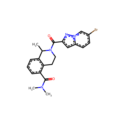 CC1c2cccc(C(=O)N(C)C)c2CCN1C(=O)c1cc2ccc(Br)cn2n1